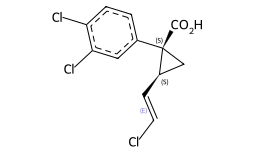 O=C(O)[C@@]1(c2ccc(Cl)c(Cl)c2)C[C@H]1/C=C/Cl